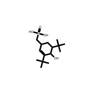 CC(C)(C)C1=CC(CP(=O)(O)O)CC(C(C)(C)C)C1O